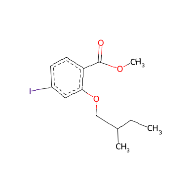 CCC(C)COc1cc(I)ccc1C(=O)OC